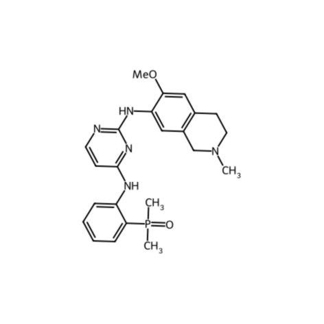 COc1cc2c(cc1Nc1nccc(Nc3ccccc3P(C)(C)=O)n1)CN(C)CC2